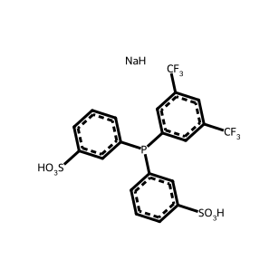 O=S(=O)(O)c1cccc(P(c2cc(C(F)(F)F)cc(C(F)(F)F)c2)c2cccc(S(=O)(=O)O)c2)c1.[NaH]